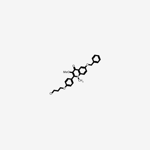 COc1c(-c2ccc(OCCCCl)cc2)n(C)c2ccc(OCc3ccccc3)cc2c1=O